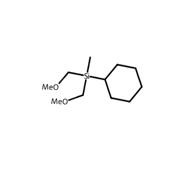 COC[Si](C)(COC)C1CCCCC1